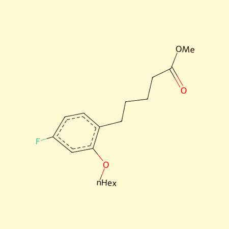 CCCCCCOc1cc(F)ccc1CCCCC(=O)OC